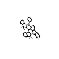 CC1(C)C2=C(c3ccccc31)N(c1ccccc1)c1ccc3c4ccccc4n4c3c1C2C1=C4C(C)(C)c2cnccc21